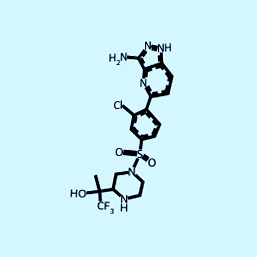 CC(O)(C1CN(S(=O)(=O)c2ccc(-c3ccc4[nH]nc(N)c4n3)c(Cl)c2)CCN1)C(F)(F)F